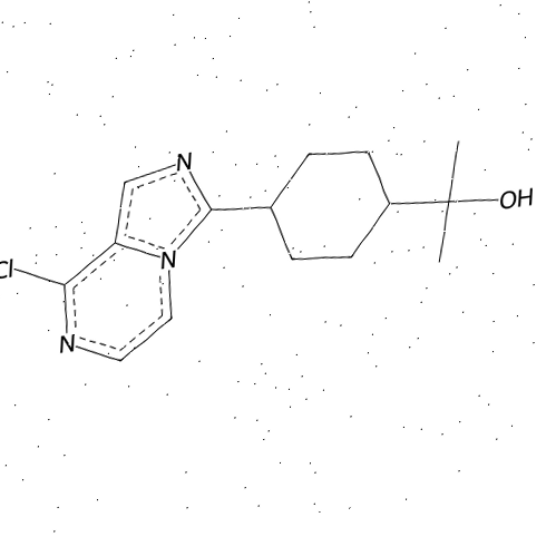 CC(C)(O)C1CCC(c2ncc3c(Cl)nccn23)CC1